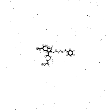 C[C@H](CC(=O)O)CC(=O)c1c(CCCCOCc2ccccc2)n(C)c2ncc(C#N)cc12